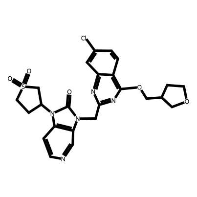 O=c1n(Cc2nc(OCC3CCOC3)c3ccc(Cl)cc3n2)c2cnccc2n1C1CCS(=O)(=O)C1